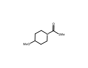 COC1CCN(C(=O)SC)CC1